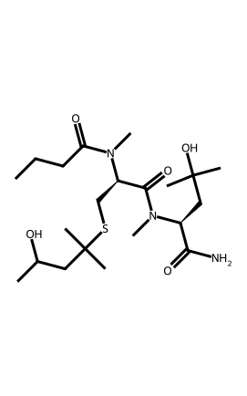 CCCC(=O)N(C)[C@H](CSC(C)(C)CC(C)O)C(=O)N(C)[C@@H](CC(C)(C)O)C(N)=O